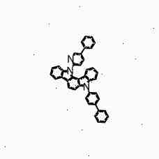 c1ccc(-c2ccc(-n3c4ccccc4c4c3ccc3c5ccccc5n(-c5ccc(-c6ccccc6)cn5)c34)cc2)cc1